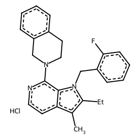 CCc1c(C)c2ccnc(N3CCc4ccccc4C3)c2n1Cc1ccccc1F.Cl